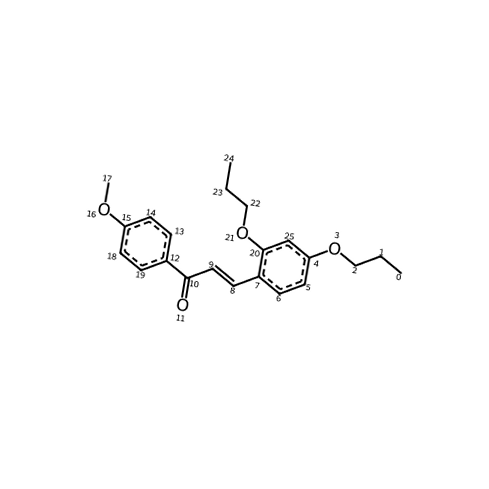 CCCOc1ccc(C=CC(=O)c2ccc(OC)cc2)c(OCCC)c1